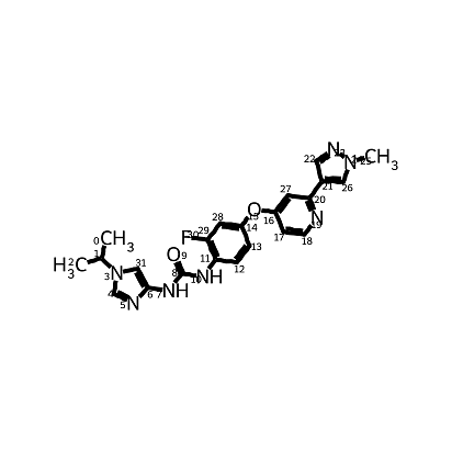 CC(C)n1cnc(NC(=O)Nc2ccc(Oc3ccnc(-c4cnn(C)c4)c3)cc2F)c1